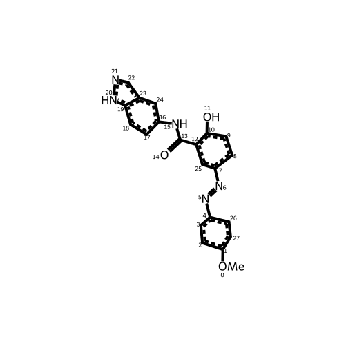 COc1ccc(N=Nc2ccc(O)c(C(=O)Nc3ccc4[nH]ncc4c3)c2)cc1